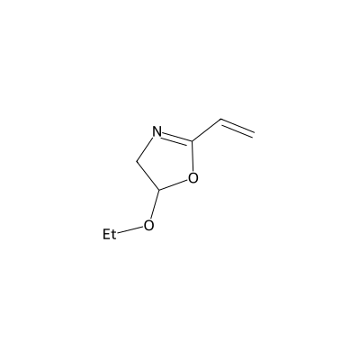 C=CC1=NCC(OCC)O1